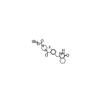 CC(C)(C)OC(=O)N1CCN(C(=O)c2cc(Cc3n[nH]c(=O)c4c3CCCC4)ccc2F)CC1